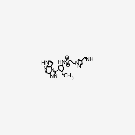 CC[C@@H]1C[C@H](NS(=O)(=O)CCn2cc(C=N)cn2)C[C@@H]1c1nnc2cnc3[nH]ccc3n12